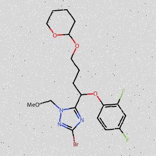 COCn1nc(Br)nc1C(CCCOC1CCCCO1)Oc1ccc(F)cc1F